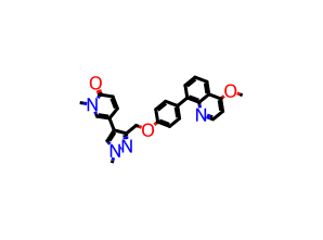 COc1ccnc2c(-c3ccc(OCc4nn(C)cc4-c4ccc(=O)n(C)c4)cc3)cccc12